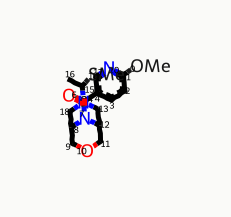 COc1ccc(C(=O)N2C3COCC2CN(C(C)SC)C3)cn1